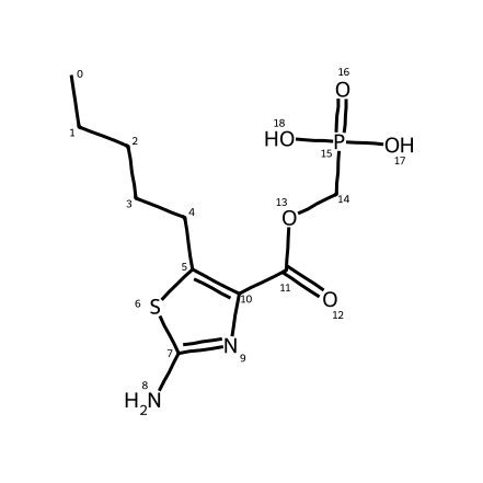 CCCCCc1sc(N)nc1C(=O)OCP(=O)(O)O